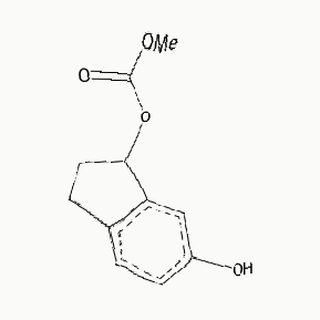 COC(=O)OC1CCc2ccc(O)cc21